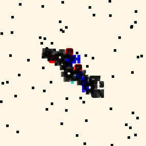 N#Cc1cnc(N2CCN(C(=O)c3cc(Cc4n[nH]c(=O)c5ccc(OC6CCC6)cc45)ccc3F)CC2)c(C(F)(F)F)c1